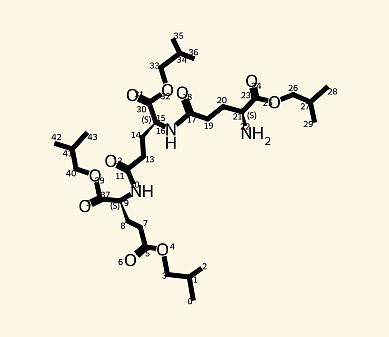 CC(C)COC(=O)CC[C@H](NC(=O)CC[C@H](NC(=O)CC[C@H](N)C(=O)OCC(C)C)C(=O)OCC(C)C)C(=O)OCC(C)C